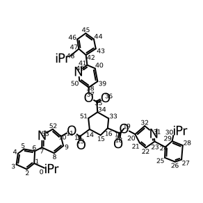 CC(C)c1ccccc1-c1ccc(OC(=O)C2CC(C(=O)Oc3ccc(-c4ccccc4C(C)C)nc3)CC(C(=O)Oc3ccc(-c4ccccc4C(C)C)nc3)C2)cn1